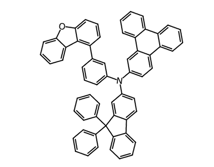 c1ccc(C2(c3ccccc3)c3ccccc3-c3ccc(N(c4cccc(-c5cccc6oc7ccccc7c56)c4)c4ccc5c6ccccc6c6ccccc6c5c4)cc32)cc1